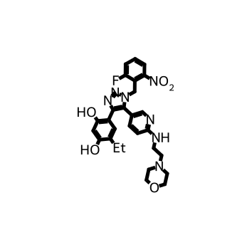 CCc1cc(-c2nnn(Cc3c(F)cccc3[N+](=O)[O-])c2-c2ccc(NCCN3CCOCC3)nc2)c(O)cc1O